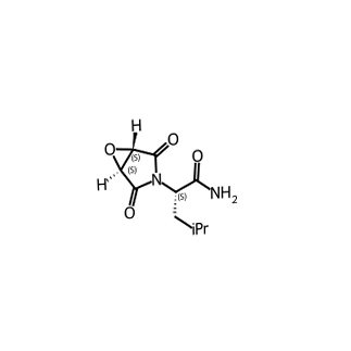 CC(C)C[C@@H](C(N)=O)N1C(=O)[C@H]2O[C@@H]2C1=O